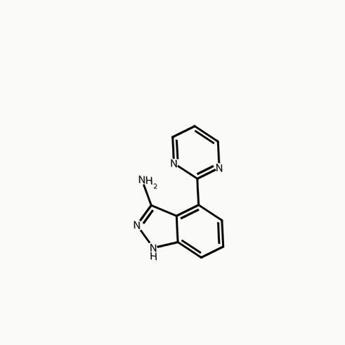 Nc1n[nH]c2cccc(-c3ncccn3)c12